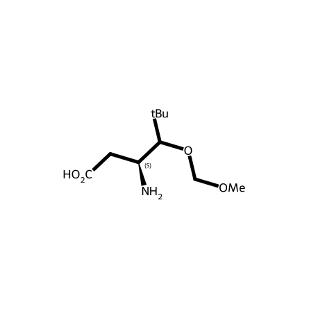 COCOC([C@@H](N)CC(=O)O)C(C)(C)C